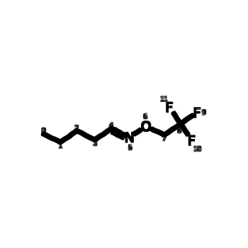 CCCC/[C]=N/OCC(F)(F)F